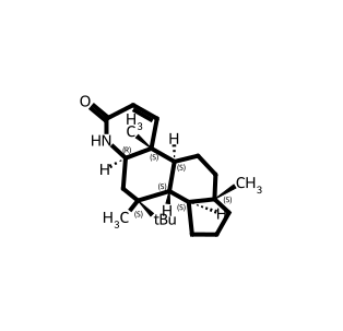 CC(C)(C)[C@@]1(C)C[C@H]2NC(=O)C=C[C@]2(C)[C@H]2CC[C@]3(C)CCC[C@H]3[C@@H]21